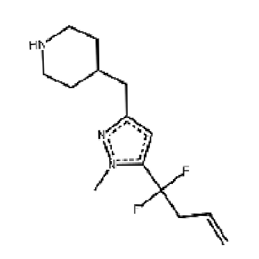 C=CCC(F)(F)c1cc(CC2CCNCC2)nn1C